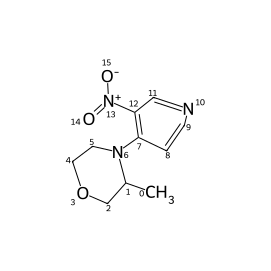 CC1COCCN1c1ccncc1[N+](=O)[O-]